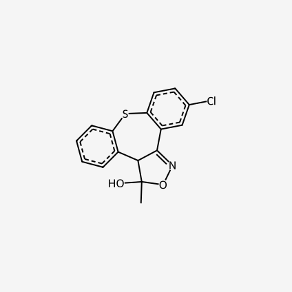 CC1(O)ON=C2c3cc(Cl)ccc3Sc3ccccc3C21